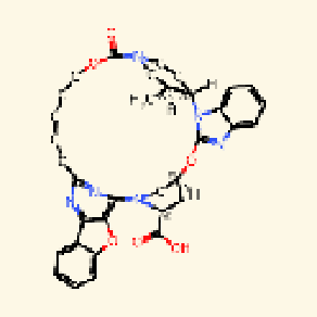 C[C@H]1CN2CC[C@@H]1n1c(nc3ccccc31)O[C@H]1C[C@@H](C(=O)O)N(C1)c1nc(nc3c1oc1ccccc13)CCCCCOC2=O